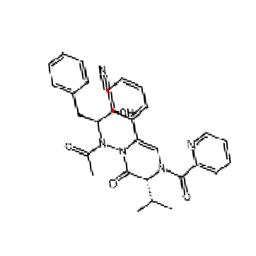 CC(=O)N([C@@H](Cc1ccccc1)C(O)C#N)N1C(=O)[C@@H](C(C)C)N(C(=O)c2ccccn2)C=C1c1ccccc1